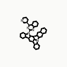 c1cncc(-c2nc(-n3c4ccccc4c4cc5c6ccccc6n6c7cc8ccccc8cc7c(c43)c56)nc3ccccc23)c1